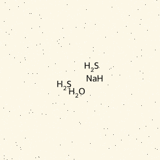 O.S.S.[NaH]